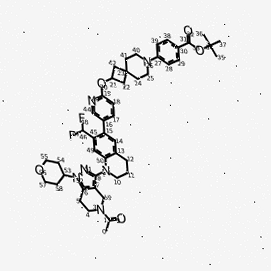 CC(=O)N1CCc2c(c(N3CCCc4cc(-c5ccc(OC6CC7(CCN(c8ccc(C(=O)OC(C)(C)C)cc8)CC7)C6)nc5)c(C(F)F)cc43)nn2C2CCOCC2)C1